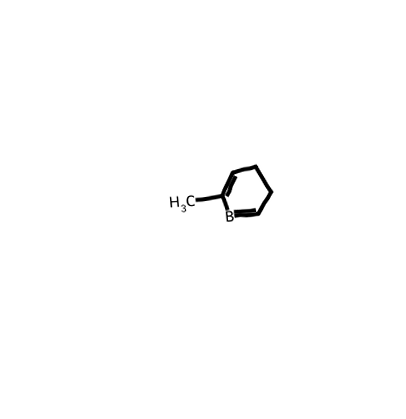 CC1=CCCC=B1